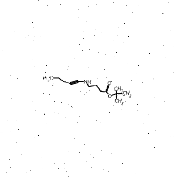 CCCC#CNCCCC(=O)OC(C)(C)C